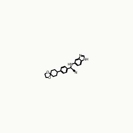 N#CC(Nc1ccc2[nH]cnc2c1)c1ccc(C2CCC3(CC2)OCCO3)cc1